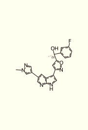 Cn1cc(-c2cnc3[nH]cc(-c4cc([C@@](C)(O)c5cccc(F)c5)on4)c3c2)cn1